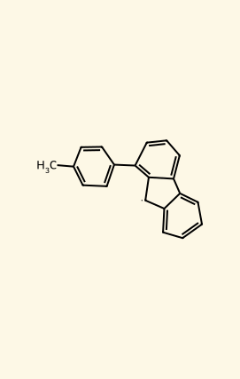 Cc1ccc(-c2cccc3c2[CH]c2ccccc2-3)cc1